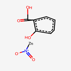 O=C(O)c1ccccc1O.O=[N+]([O-])[Zn]